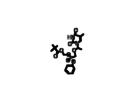 Cc1cn(C(C)OCP(=O)(OCOC(=O)C(C)(C)C)Oc2ccccc2)c(=O)[nH]c1=O